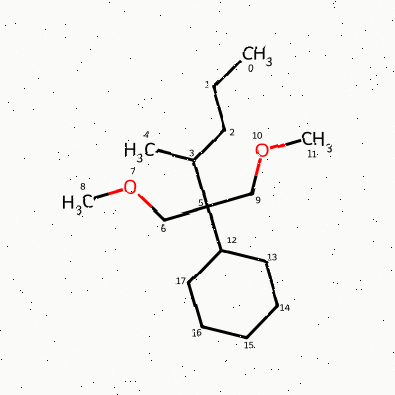 CCCC(C)C(COC)(COC)C1CCCCC1